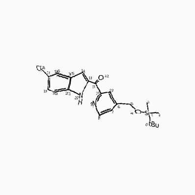 CC(C)(C)[Si](C)(C)OCc1ccnc(C(=O)c2[c]c3cc(Cl)ccc3[nH]2)c1